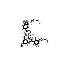 CCCc1noc2ccc(C(=O)NC(Cc3cc(F)cc(F)c3)C(O)CNCc3cccc(CC)c3)cc12